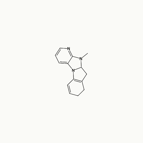 CN1c2ncccc2N2C3=C(CCC=C3)CC12